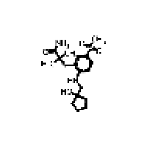 CC(C)(Cc1cc(S(C)(=O)=O)ccc1NCC1(O)CCCC1)C(N)=O